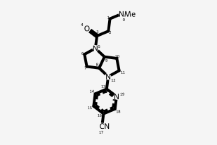 CNCCC(=O)N1CCC2C1CCN2c1ccc(C#N)cn1